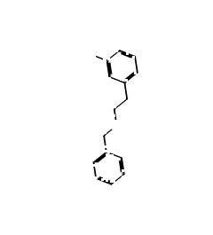 O=Cc1cccc(CCOCc2ccccc2)c1